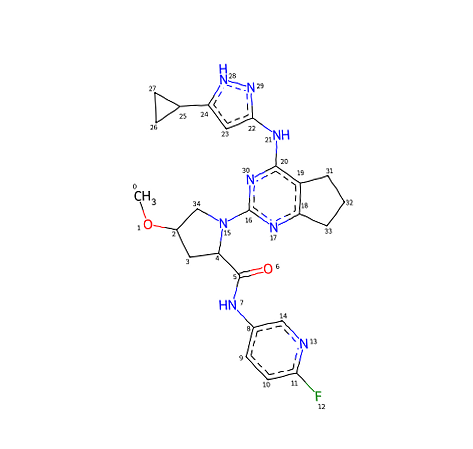 COC1CC(C(=O)Nc2ccc(F)nc2)N(c2nc3c(c(Nc4cc(C5CC5)[nH]n4)n2)CCC3)C1